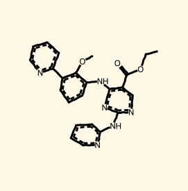 CCOC(=O)c1cnc(Nc2ccccn2)nc1Nc1cccc(-c2ccccn2)c1OC